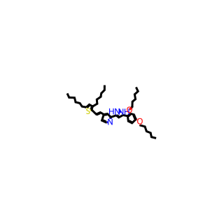 CCCCCCOc1ccc(C2C=C(c3cc(/C=C/c4sc(CCCCCC)cc4CCCCCC)ccn3)NN2)c(OCCCCCC)c1